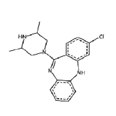 CC1CN(C2=Nc3ccccc3Nc3cc(Cl)ccc32)CC(C)N1